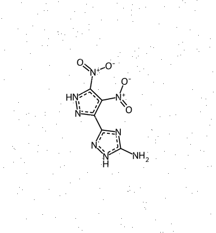 Nc1nc(-c2n[nH]c([N+](=O)[O-])c2[N+](=O)[O-])n[nH]1